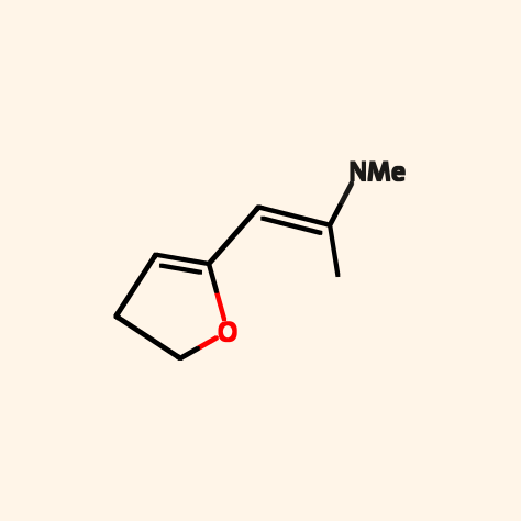 CN/C(C)=C/C1=CCCO1